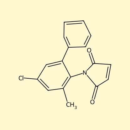 Cc1cc(Cl)cc(-c2ccccc2)c1N1C(=O)C=CC1=O